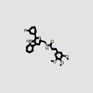 COc1cc(/C=C/C(=O)NCc2cc3c([nH]c4ccccc43)c(-c3cccc(F)c3)n2)cc(OC)c1OC